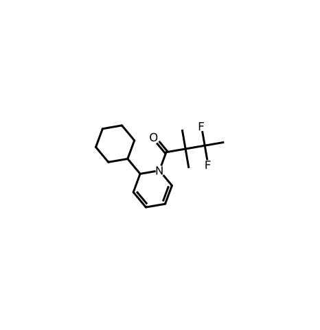 CC(F)(F)C(C)(C)C(=O)N1C=CC=CC1C1CCCCC1